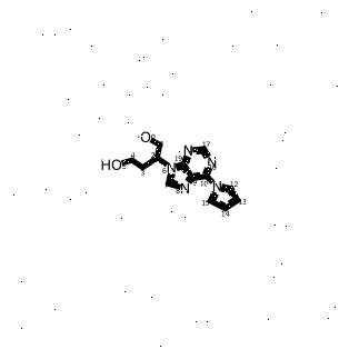 [O]CC(CCO)n1cnc2c(-n3cccc3)ncnc21